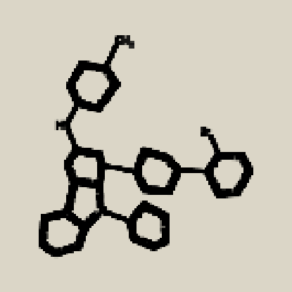 Cc1ccc(Nc2cc(-c3ccc(-c4ccccc4Br)cc3)c3c(c2)c2ccccc2n3-c2ccccc2)cc1